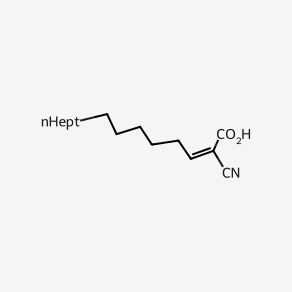 CCCCCCCCCCCCC=C(C#N)C(=O)O